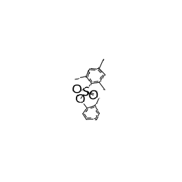 Cc1cc(C)c(S(=O)(=O)Oc2ccccc2C)c(C)c1